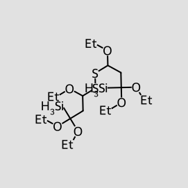 CCOC(CC([SiH3])(OCC)OCC)SSC(CC([SiH3])(OCC)OCC)OCC